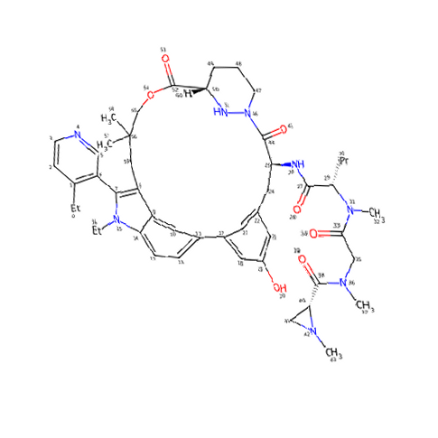 CCc1ccncc1-c1c2c3cc(ccc3n1CC)-c1cc(O)cc(c1)C[C@H](NC(=O)[C@H](C(C)C)N(C)C(=O)CN(C)C(=O)[C@H]1CN1C)C(=O)N1CCC[C@H](N1)C(=O)OCC(C)(C)C2